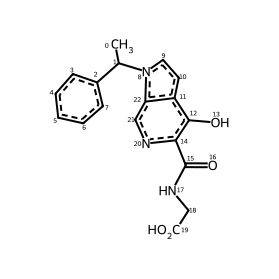 CC(c1ccccc1)n1ccc2c(O)c(C(=O)NCC(=O)O)ncc21